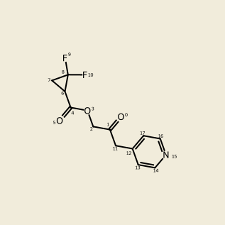 O=C(COC(=O)C1CC1(F)F)Cc1ccncc1